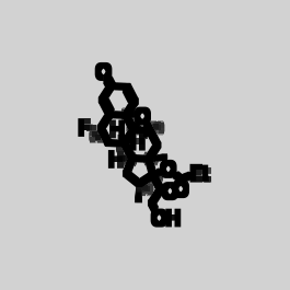 CCC(=O)O[C@@]1(C(=O)CO)[C@@H](C)C[C@H]2[C@@H]3C[C@H](F)C4=CC(=O)C=C[C@]4(C)[C@@]34O[C@H]4C[C@@]21C